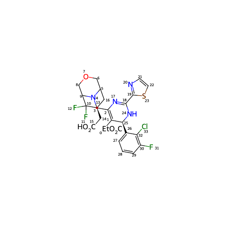 CCOC(=O)C1=C(CN2C3COCC2C(F)(F)[C@H](CC(=O)O)C3)N=C(c2nccs2)N[C@H]1c1cccc(F)c1Cl